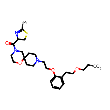 CC(C)C1=NC(C(=O)N2CCOC3(CCN(CCOc4ccccc4CCOCCC(=O)O)CC3)C2)CS1